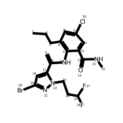 C=C(Nc1c(CCC)cc(Cl)cc1C(=O)NC)c1cc(Br)nn1CCC(F)F